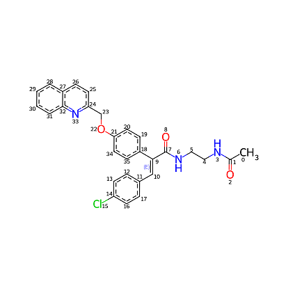 CC(=O)NCCNC(=O)/C(=C/c1ccc(Cl)cc1)c1ccc(OCc2ccc3ccccc3n2)cc1